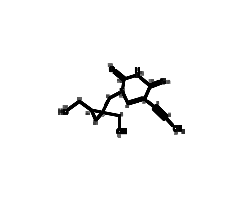 CC#Cc1cn(CC2(CO)CC2CO)c(=O)[nH]c1=O